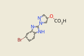 O=C(O)Oc1cnn(-c2nc3cc(Br)ccc3[nH]2)c1